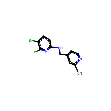 N#Cc1cc(CNc2ccc(Br)c(F)n2)ccn1